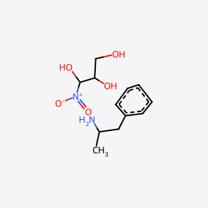 CC(N)Cc1ccccc1.O=[N+]([O-])C(O)C(O)CO